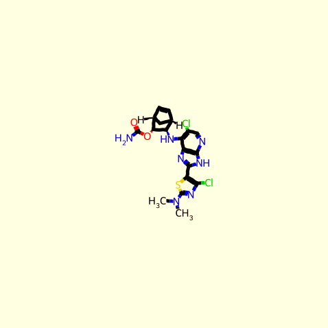 CN(C)c1nc(Cl)c(-c2nc3c(N[C@H]4[C@@H](OC(N)=O)[C@@H]5C=C[C@H]4C5)c(Cl)cnc3[nH]2)s1